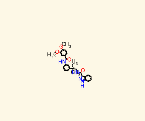 COc1ccc(C(=O)Nc2cccc(C(C)(C)CNC(=O)c3n[nH]c4ccccc34)c2)cc1OC